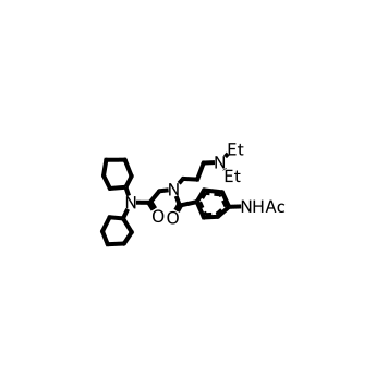 CCN(CC)CCCN(CC(=O)N(C1CCCCC1)C1CCCCC1)C(=O)c1ccc(NC(C)=O)cc1